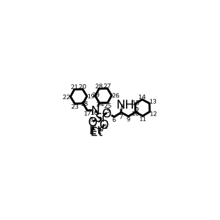 CCO[Si](OCC)(OCC(N)CC1CCCCC1)N(CC1CCCCC1)C1CCCCC1